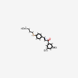 CCCCCCCCCCCCCSc1ccc(/C=C/C(=O)c2cc(CC)cc(CC)c2)cc1